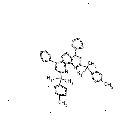 Cc1ccc(C(C)(C)c2cc(-c3ccccc3)c3ccc4c(-c5ccccc5)cc(C(C)(C)c5ccc(C)cc5)nc4c3n2)cc1